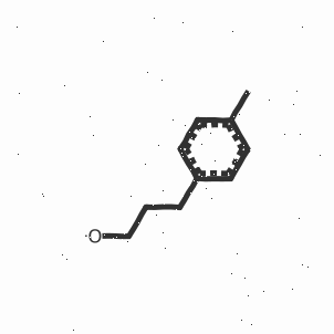 Cc1ccc(CCC[O])cc1